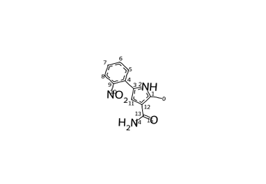 Cc1[nH]c(-c2ccccc2[N+](=O)[O-])cc1C(N)=O